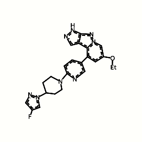 CCOc1cc(-c2ccc(N3CCC(n4cc(F)cn4)CC3)nc2)c2c3cn[nH]c3nn2c1